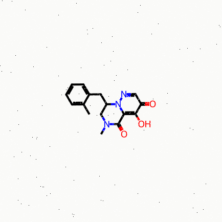 Cc1ccccc1CC1CN(C)C(=O)c2c(O)c(=O)cnn21